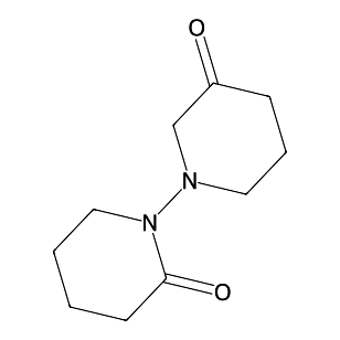 O=C1CCCN(N2CCCCC2=O)C1